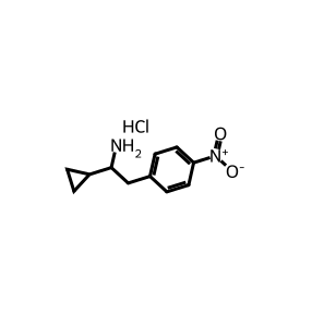 Cl.NC(Cc1ccc([N+](=O)[O-])cc1)C1CC1